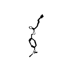 C#CCCC(=O)OCc1ccc(N(C)C)cc1